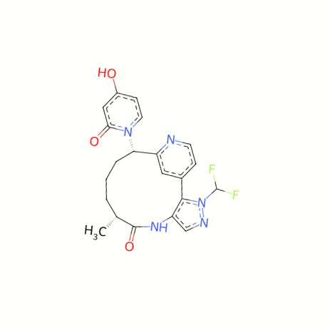 C[C@@H]1CCC[C@H](n2ccc(O)cc2=O)c2cc(ccn2)-c2c(cnn2C(F)F)NC1=O